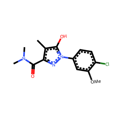 COc1cc(-n2nc(C(=O)N(C)C)c(C)c2O)ccc1Cl